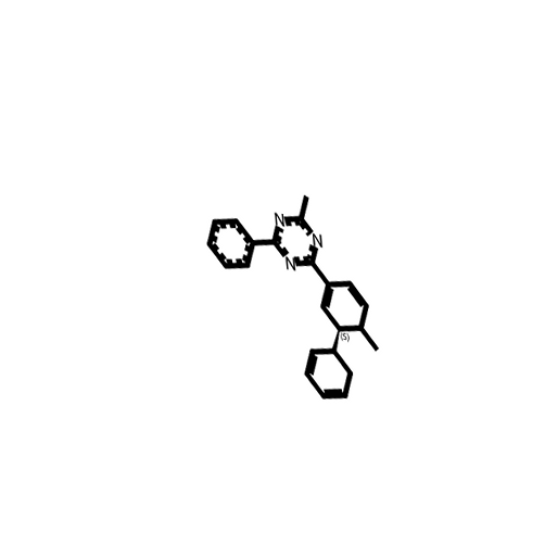 Cc1nc(C2=C[C@H](C3C=CC=CC3)C(C)C=C2)nc(-c2ccccc2)n1